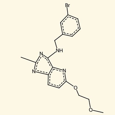 COCCOc1ccc2nc(C)nc(NCc3cccc(Br)c3)c2n1